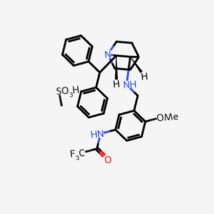 COc1ccc(NC(=O)C(F)(F)F)cc1CN[C@H]1C2CCN(CC2)[C@H]1C(c1ccccc1)c1ccccc1.CS(=O)(=O)O